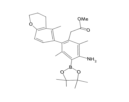 COC(=O)Cc1c(C)c(N)c(B2OC(C)(C)C(C)(C)O2)c(C)c1-c1ccc2c(c1C)CCCO2